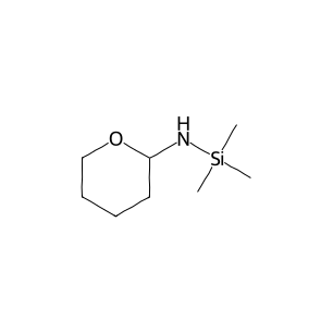 C[Si](C)(C)NC1CCCCO1